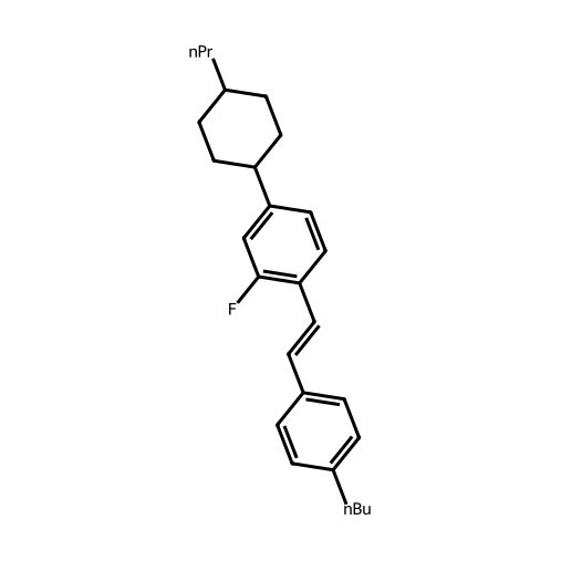 CCCCc1ccc(C=Cc2ccc(C3CCC(CCC)CC3)cc2F)cc1